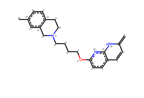 C=C1C=Cc2ccc(OCCCCN3CCc4ccc(C)cc4C3)nc2N1